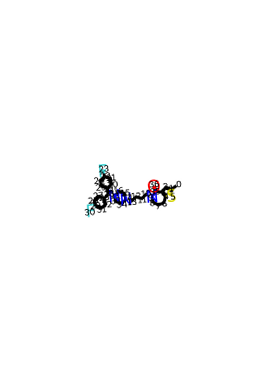 Cc1cc2c(s1)CCCN(CCCCN1CCN(C(c3ccc(F)cc3)c3ccc(F)cc3)CC1)C2=O